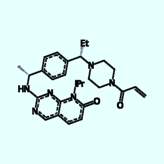 C=CC(=O)N1CCN([C@@H](CC)c2ccc([C@@H](C)Nc3ncc4ccc(=O)n(C(C)C)c4n3)cc2)CC1